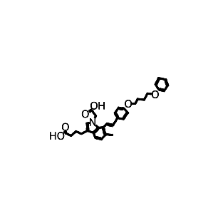 Cc1ccc2c(CCCC(=O)O)cn(CC(=O)O)c2c1C=Cc1ccc(OCCCCOc2ccccc2)cc1